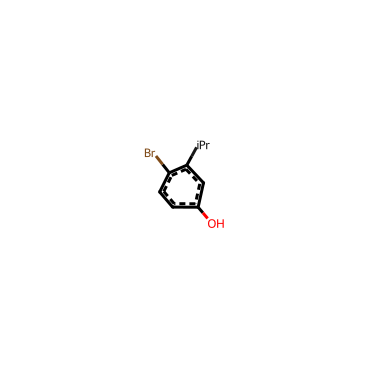 CC(C)c1cc(O)ccc1Br